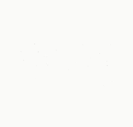 Cc1cccc2c(OCCCCN3C(=O)c4ccccc4C3=O)c3ccccc3cc12